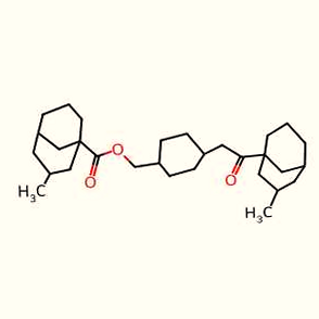 CC1CC2CCCC(C(=O)CC3CCC(COC(=O)C45CCCC(CC(C)C4)C5)CC3)(C1)C2